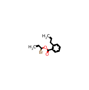 C=CCc1ccccc1C(=O)OC(Br)C=C